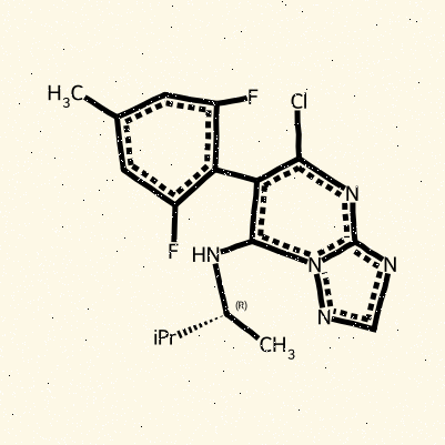 Cc1cc(F)c(-c2c(Cl)nc3ncnn3c2N[C@H](C)C(C)C)c(F)c1